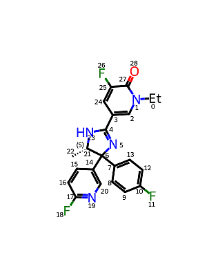 CCn1cc(C2=NC(c3ccc(F)cc3)(c3ccc(F)nc3)[C@H](C)N2)cc(F)c1=O